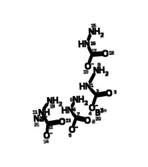 NNC(=O)[O-].NNC(=O)[O-].NNC(=O)[O-].NNC(=O)[O-].[B+3].[Na+]